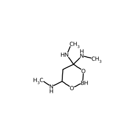 CNC1CC(NC)(NC)OBO1